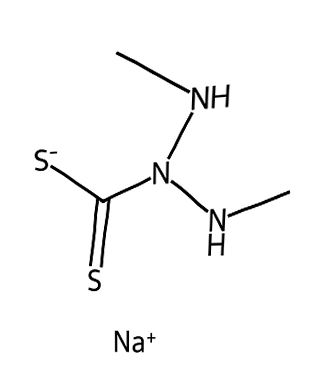 CNN(NC)C(=S)[S-].[Na+]